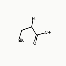 CCCCCC(CC)C([NH])=O